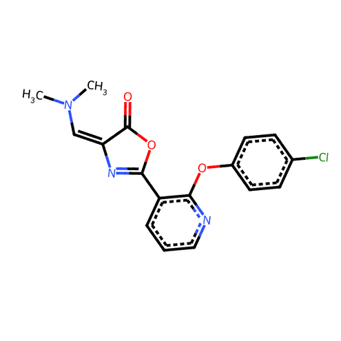 CN(C)C=C1N=C(c2cccnc2Oc2ccc(Cl)cc2)OC1=O